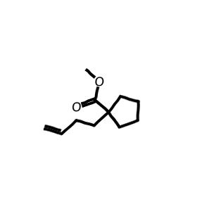 C=CCCC1(C(=O)OC)CCCC1